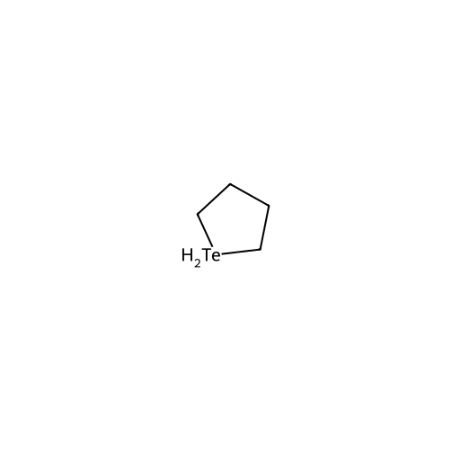 C1CC[TeH2]C1